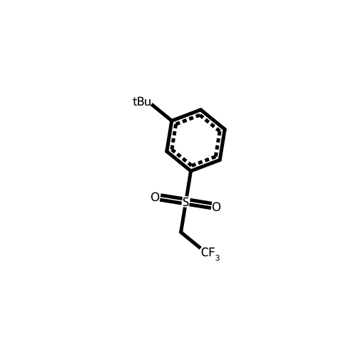 CC(C)(C)c1cccc(S(=O)(=O)CC(F)(F)F)c1